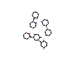 N#Cc1ccc2c(c1)c1cc3c(cc1n2-c1cccc(-c2cccc(-n4c5ccccc5c5ccccc54)c2)c1)oc1ccccc13